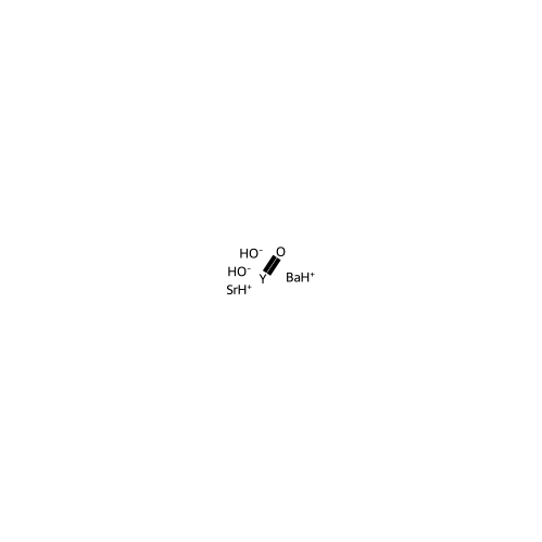 [BaH+].[OH-].[OH-].[O]=[Y].[SrH+]